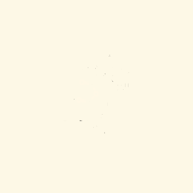 O=C(OC(=O)C1[C@H]2C=C[C@H](C2)[C@H]1C(=O)O)C1[C@H]2C=C[C@H](C2)[C@H]1C(=O)O